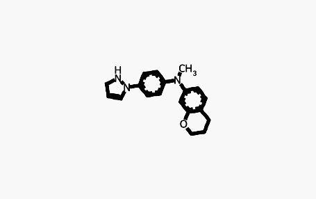 CN(c1ccc(N2C=CCN2)cc1)c1ccc2c(c1)OCCC2